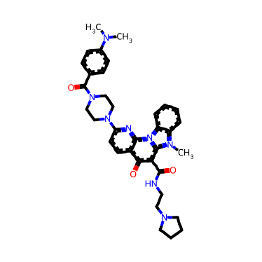 CN(C)c1ccc(C(=O)N2CCN(c3ccc4c(=O)c(C(=O)NCCN5CCCC5)c5n(C)c6ccccc6n5c4n3)CC2)cc1